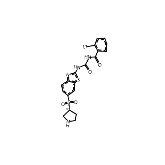 O=C(NC(=O)c1ccccc1Cl)Nc1nc2ccc(S(=O)(=O)[C@H]3CCNC3)cc2s1